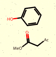 COC(=O)CC(C)=O.Oc1ccccc1